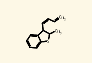 C=C/C=C\C1c2ccccc2SC1C